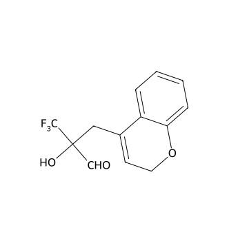 O=CC(O)(CC1=CCOc2ccccc21)C(F)(F)F